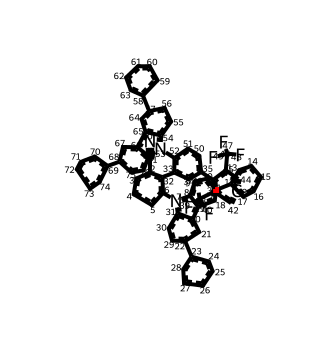 N#Cc1cccc(-n2c3ccc(-c4ccccc4)cc3c3cc(-c4ccccc4)ccc32)c1-c1cc(-c2c(C(F)(F)F)cccc2C(F)(F)F)ccc1-n1c2ccc(-c3ccccc3)cc2c2cc(-c3ccccc3)ccc21